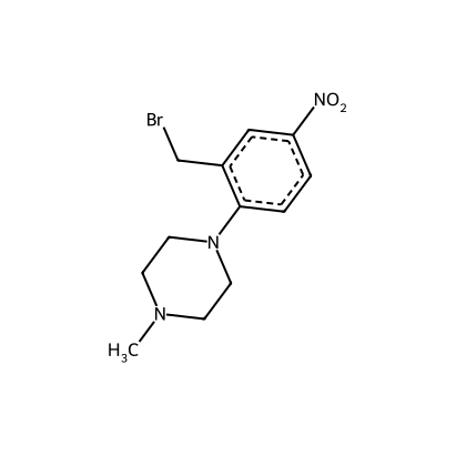 CN1CCN(c2ccc([N+](=O)[O-])cc2CBr)CC1